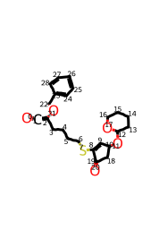 O=C=C(CCCCSC1=CC(OC2CCCCO2)CC1=O)OCc1ccccc1